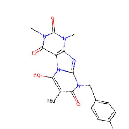 CCCCc1c(O)n2c3c(=O)n(C)c(=O)n(C)c3nc2n(Cc2ccc(Cl)cc2)c1=O